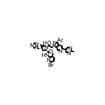 CC(=O)c1nn(CC(=O)N2[C@@H](C(=O)Nc3nc(Br)ccc3C)C[C@@]3(Cn4cncn4)C[C@@H]23)c2cnc(-c3cnc(C)nc3)cc12